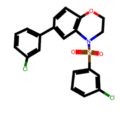 O=S(=O)(c1cccc(Cl)c1)N1CCOc2ccc(-c3cccc(Cl)c3)cc21